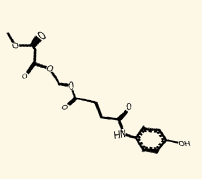 COC(=O)C(=O)OCOC(=O)CCC(=O)Nc1ccc(O)cc1